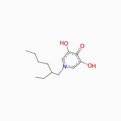 CCCCC(CC)Cn1cc(O)c(=O)c(O)c1